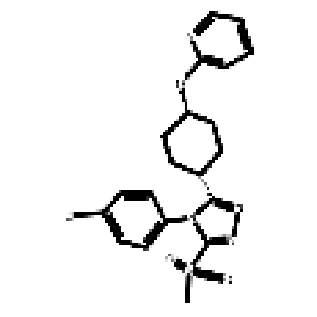 CS(=O)(=O)c1nnc([C@H]2CC[C@H](Oc3ccccn3)CC2)n1-c1ccc(Cl)cc1